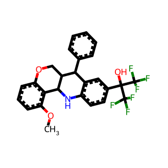 COc1cccc2c1C1Nc3ccc(C(O)(C(F)(F)F)C(F)(F)F)cc3C(c3ccccc3)C1CO2